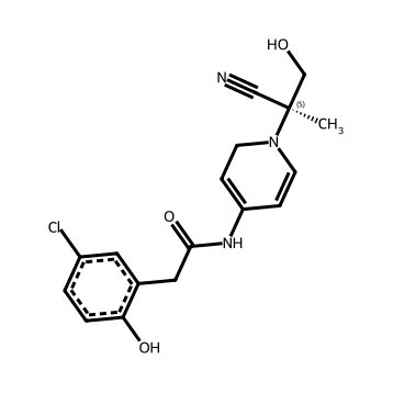 C[C@](C#N)(CO)N1C=CC(NC(=O)Cc2cc(Cl)ccc2O)=CC1